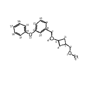 CCOCC1CC(OCc2cccc(Oc3ccccc3)c2)C1